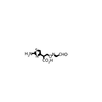 Nc1nc(C(CON=C[C]=O)C(=O)O)cs1